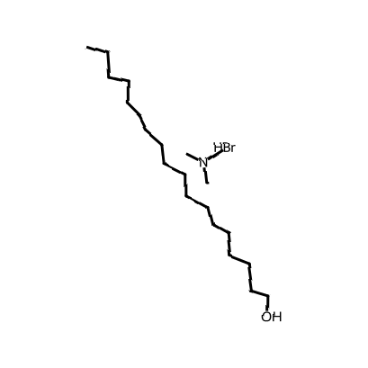 Br.CCCCCCCCCCCCCCCCCCO.CN(C)C